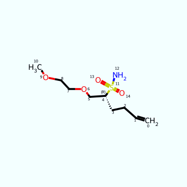 C=CCC[C@H](COCCOC)S(N)(=O)=O